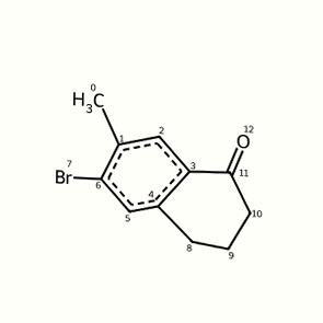 Cc1cc2c(cc1Br)CCCC2=O